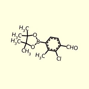 Cc1c(B2OC(C)(C)C(C)(C)O2)ccc(C=O)c1Cl